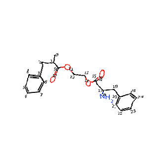 CC(Cc1ccccc1)C(=O)OCCOC(=O)C(N)Cc1ccccc1